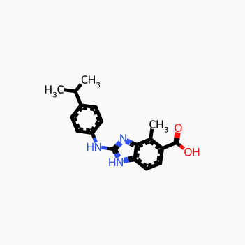 Cc1c(C(=O)O)ccc2[nH]c(Nc3ccc(C(C)C)cc3)nc12